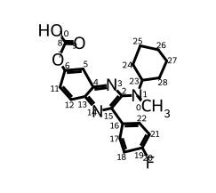 CN(c1nc2cc(OC(=O)O)ccc2nc1-c1ccc(F)cc1)C1CCCCC1